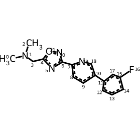 CN(C)Cc1nc(-c2ccc(-c3cccc(F)c3)cn2)no1